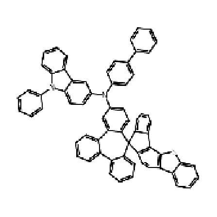 c1ccc(-c2ccc(N(c3ccc4c(c3)-c3ccccc3-c3ccccc3C43c4ccccc4-c4c3ccc3c4sc4ccccc43)c3ccc4c(c3)c3ccccc3n4-c3ccccc3)cc2)cc1